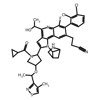 Cc1csnc1C(C)OC1CC(c2cc3c(C(C)O)nc4c(F)c(-c5cccc(Cl)c5Cl)c(CCC#N)cc4c3n2C2C3CNC2C3)N(C(=O)C2CC2)C1